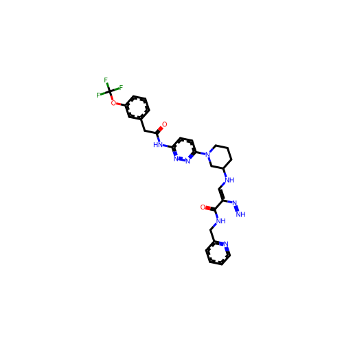 N=N/C(=C\NC1CCCN(c2ccc(NC(=O)Cc3cccc(OC(F)(F)F)c3)nn2)C1)C(=O)NCc1ccccn1